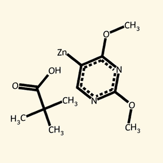 CC(C)(C)C(=O)O.COc1nc[c]([Zn])c(OC)n1